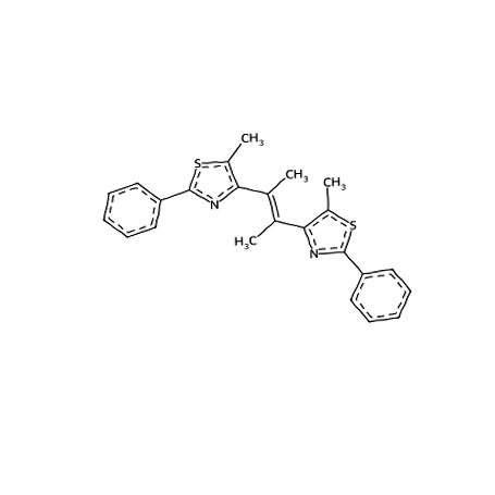 CC(=C(C)c1nc(-c2ccccc2)sc1C)c1nc(-c2ccccc2)sc1C